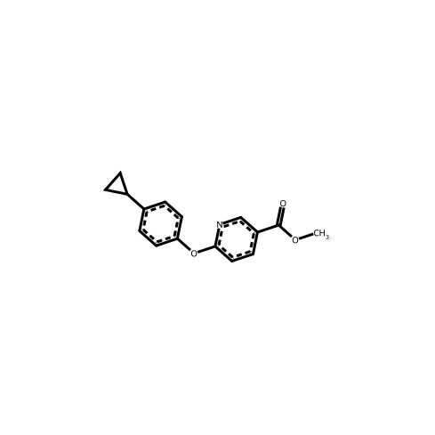 COC(=O)c1ccc(Oc2ccc(C3CC3)cc2)nc1